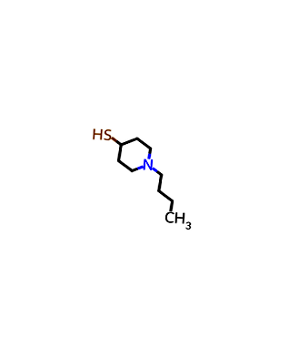 CCCCN1CCC(S)CC1